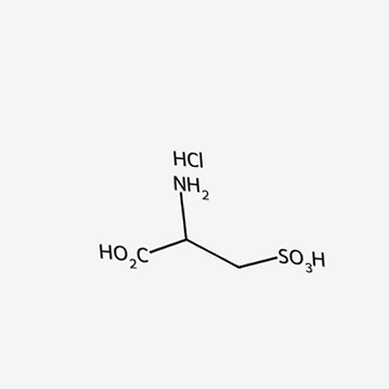 Cl.NC(CS(=O)(=O)O)C(=O)O